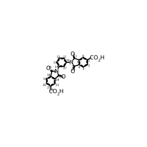 O=C(O)c1ccc2c(c1)C(=O)N(c1cccc(N3C(=O)c4ccc(C(=O)O)cc4C3=O)c1)C2=O